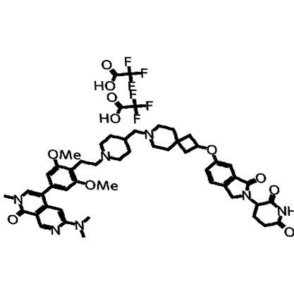 COc1cc(-c2cn(C)c(=O)c3cnc(N(C)C)cc23)cc(OC)c1CCN1CCC(CN2CCC3(CC2)CC(Oc2ccc4c(c2)C(=O)N(C2CCC(=O)NC2=O)C4)C3)CC1.O=C(O)C(F)(F)F.O=C(O)C(F)(F)F